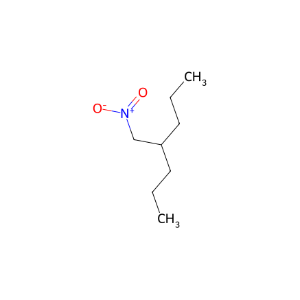 CCCC(CCC)C[N+](=O)[O-]